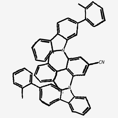 Cc1ccccc1-c1ccc2c3ccccc3n(-c3cc(C#N)cc(-n4c5ccccc5c5ccc(-c6ccccc6C)cc54)c3-c3c(C#N)cccc3C(F)(F)F)c2c1